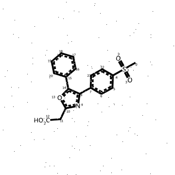 CS(=O)(=O)c1ccc(-c2nc(CC(=O)O)oc2-c2ccccc2)cc1